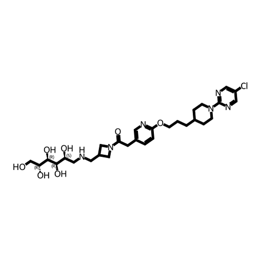 O=C(Cc1ccc(OCCCC2CCN(c3ncc(Cl)cn3)CC2)nc1)N1CC(CNC[C@H](O)[C@@H](O)[C@H](O)[C@H](O)CO)C1